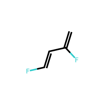 C=C(F)C=[C]F